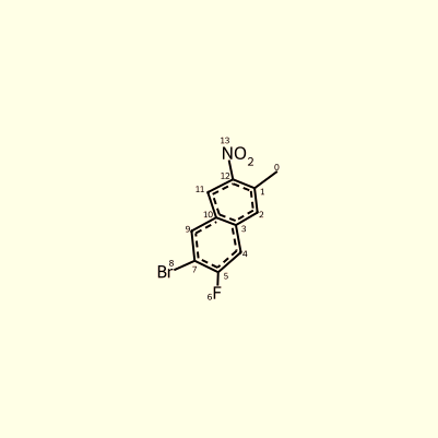 Cc1cc2cc(F)c(Br)cc2cc1[N+](=O)[O-]